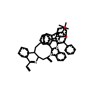 C=CC1=NC2CC(=C)[n+]3c(n(-c4c(-c5ccccc5)cc(C(C)(C)C)cc4-c4ccccc4)c4ccccc43)-c3c(ccc4c3oc3ccccc34)CCC2c2ccccc21